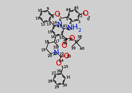 COc1ccc(COc2ccccc2-c2cc(C3CCCN(C(=O)OCc4ccccc4)C3)c(C(=O)OC(C)(C)C)c(N)n2)cc1